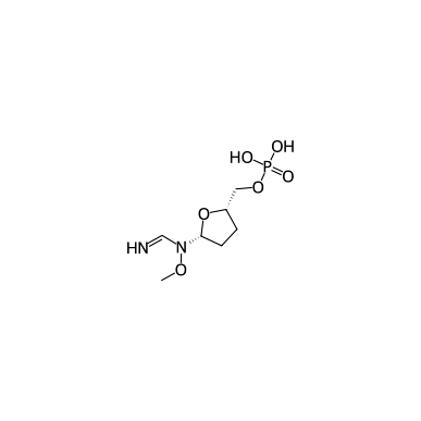 CON(C=N)[C@H]1CC[C@@H](COP(=O)(O)O)O1